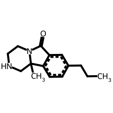 CCCc1ccc2c(c1)C(=O)N1CCNCC21C